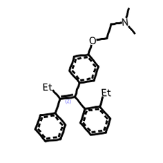 CC/C(=C(\c1ccc(OCCN(C)C)cc1)c1ccccc1CC)c1ccccc1